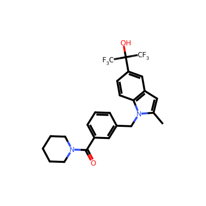 Cc1cc2cc(C(O)(C(F)(F)F)C(F)(F)F)ccc2n1Cc1cccc(C(=O)N2CCCCC2)c1